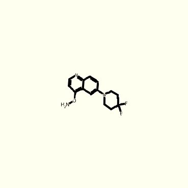 NOc1ccnc2ccc(N3CCC(F)(F)CC3)cc12